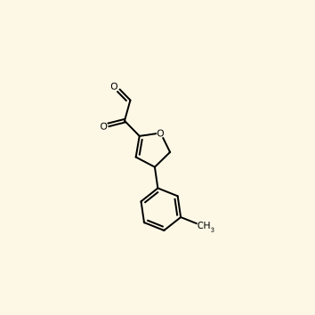 Cc1cccc(C2C=C(C(=O)C=O)OC2)c1